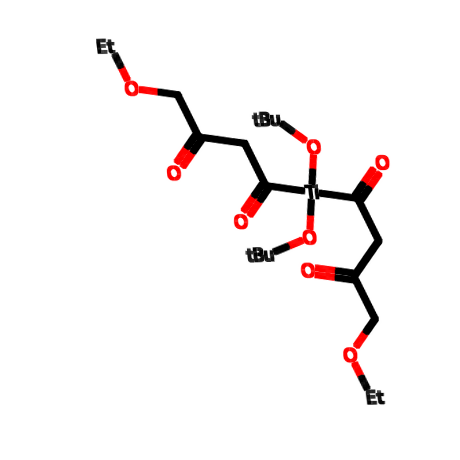 CCOCC(=O)C[C](=O)[Ti]([O]C(C)(C)C)([O]C(C)(C)C)[C](=O)CC(=O)COCC